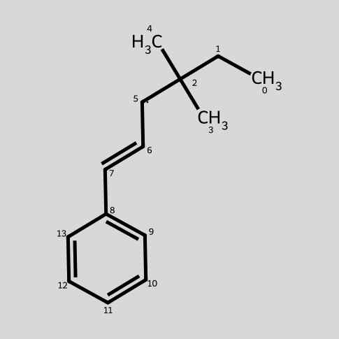 CCC(C)(C)[CH]/C=C/c1ccccc1